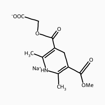 COC(=O)C1=C(C)NC(C)=C(C(=O)OCC(=O)[O-])C1.[Na+]